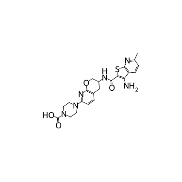 Cc1ccc2c(N)c(C(=O)NC3COc4nc(N5CCN(C(=O)O)CC5)ccc4C3)sc2n1